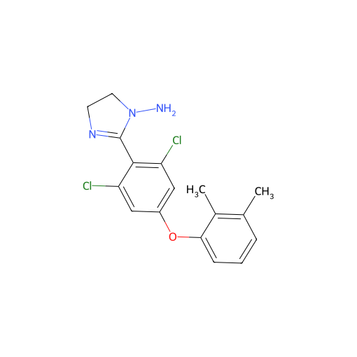 Cc1cccc(Oc2cc(Cl)c(C3=NCCN3N)c(Cl)c2)c1C